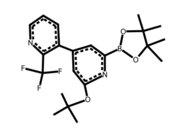 CC(C)(C)Oc1cc(-c2cccnc2C(F)(F)F)cc(B2OC(C)(C)C(C)(C)O2)n1